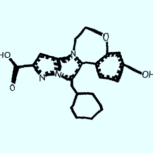 O=C(O)c1cc2n3c(c(C4CCCCC4)n2n1)-c1ccc(O)cc1OCC3